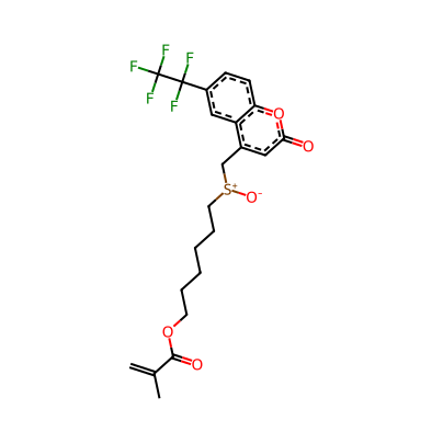 C=C(C)C(=O)OCCCCCC[S+]([O-])Cc1cc(=O)oc2ccc(C(F)(F)C(F)(F)F)cc12